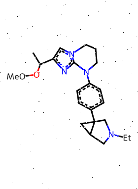 CCN1CC2CC2(c2ccc(N3CCCn4cc(C(C)OOC)nc43)cc2)C1